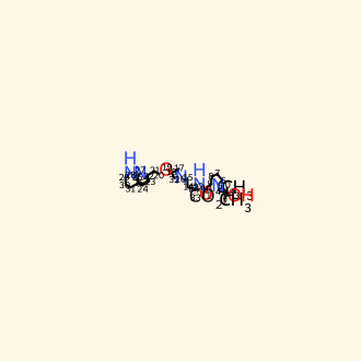 CC(C)(O)CN1CCCC1C(=O)N[C@@H](CCN1CC(OCCc2ccc3c(n2)NCCC3)C1)C(=O)O